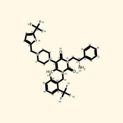 Cc1c(N2CCN(Cc3ccc(C(F)(F)F)s3)CC2)c(=O)n(C[C@@H](N)c2ccccc2)c(=O)n1Cc1c(F)cccc1C(F)(F)F